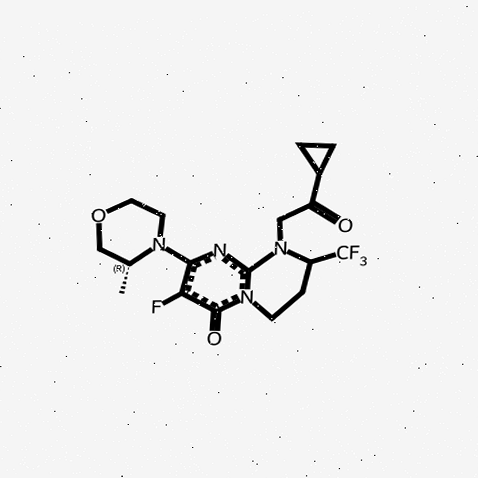 C[C@@H]1COCCN1c1nc2n(c(=O)c1F)CCC(C(F)(F)F)N2CC(=O)C1CC1